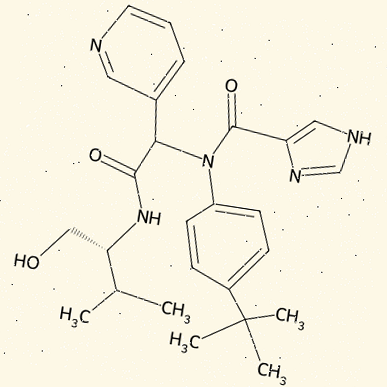 CC(C)[C@H](CO)NC(=O)C(c1cccnc1)N(C(=O)c1c[nH]cn1)c1ccc(C(C)(C)C)cc1